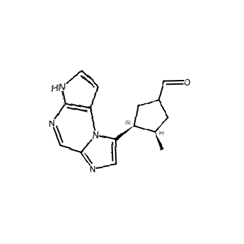 C[C@@H]1CC(C=O)C[C@@H]1c1cnc2cnc3[nH]ccc3n12